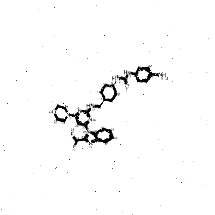 Nc1ccc(NC(=O)N[C@H]2CC[C@H](CNc3nc(N4CCOCC4)cc(-n4c(C(F)F)nc5ccccc54)n3)CC2)cc1